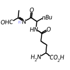 CCCCC(NC(=O)CCC(N)C(=O)O)C(=O)/N=C(\C)C=O